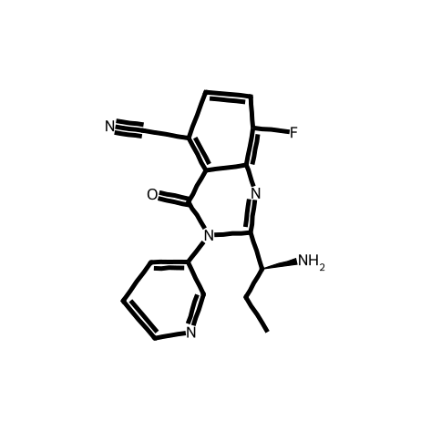 CC[C@H](N)c1nc2c(F)ccc(C#N)c2c(=O)n1-c1cccnc1